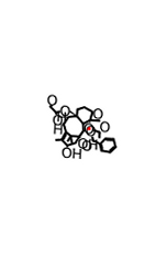 CC(=O)O[C@@]12COC1CC[C@]1(C)C2[C@H](OC(=O)c2ccccc2)[C@]2(O)C[C@H](O)C(C)=C([C@H]3OC(C=O)O[C@H]31)C2(C)C